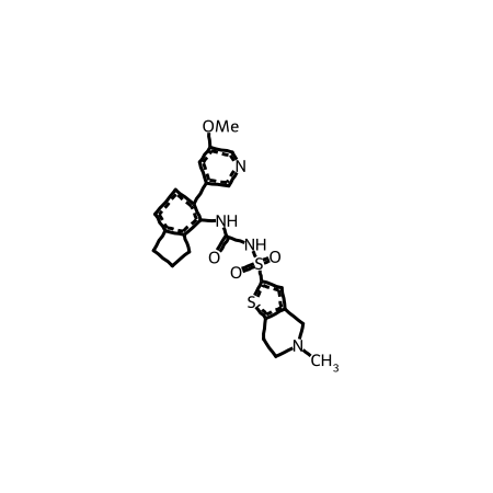 COc1cncc(-c2ccc3c(c2NC(=O)NS(=O)(=O)c2cc4c(s2)CCN(C)C4)CCC3)c1